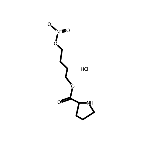 Cl.O=C(OCCCCO[N+](=O)[O-])C1CCCN1